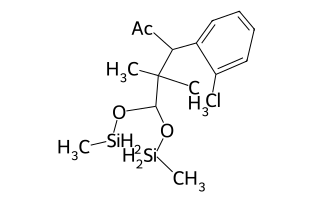 C[SiH2]OC(O[SiH2]C)C(C)(C)C(C(C)=O)c1ccccc1Cl